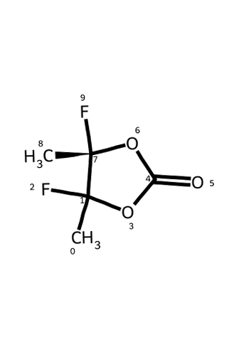 CC1(F)OC(=O)O[C@@]1(C)F